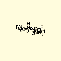 Cc1cc(F)ncc1OCC(=O)NC12CC(C(Oc3ccc(Cl)c(F)c3)C(N)=O)(C1)C2